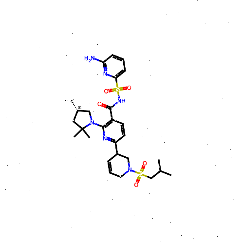 CC(C)CS(=O)(=O)N1CC=CC(c2ccc(C(=O)NS(=O)(=O)c3cccc(N)n3)c(N3C[C@@H](C)CC3(C)C)n2)C1